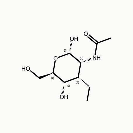 CC[C@@H]1[C@H](O)[C@@H](CO)O[C@H](O)[C@@H]1NC(C)=O